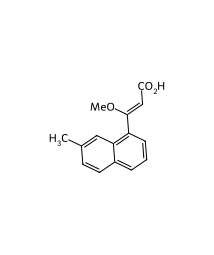 CO/C(=C\C(=O)O)c1cccc2ccc(C)cc12